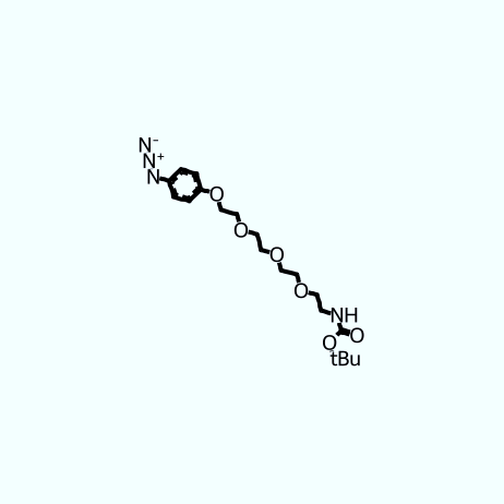 CC(C)(C)OC(=O)NCCOCCOCCOCCOc1ccc(N=[N+]=[N-])cc1